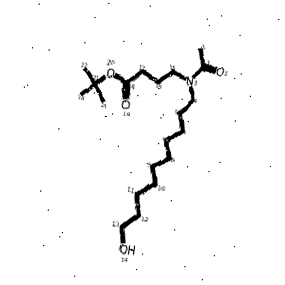 CC(=O)N(CCCCCCCCCCO)CCCC(=O)OC(C)(C)C